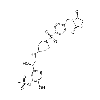 CS(=O)(=O)Nc1cc([C@@H](O)CNC2CCN(S(=O)(=O)c3ccc(CN4C(=O)CSC4=O)cc3)CC2)ccc1O